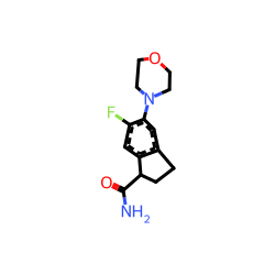 NC(=O)C1CCc2cc(N3CCOCC3)c(F)cc21